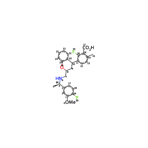 COc1cc([C@@H](C)NCC2CC(c3ccc(C)c(C(=O)O)c3F)c3ccccc3O2)ccc1F